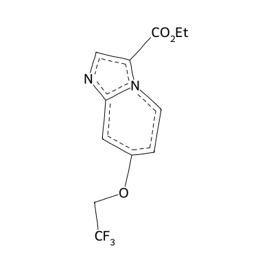 CCOC(=O)c1cnc2cc(OCC(F)(F)F)ccn12